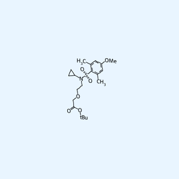 COc1cc(C)c(S(=O)(=O)N(CCOCC(=O)OC(C)(C)C)C2CC2)c(C)c1